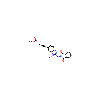 CCn1c(CN2C(=O)c3ccccc3C2=O)nc2ccc(C#CCNC(=O)OC(C)(C)C)cc21